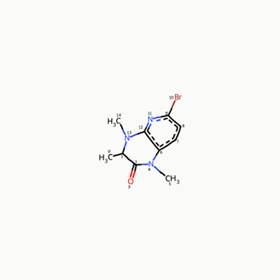 CC1C(=O)N(C)c2ccc(Br)nc2N1C